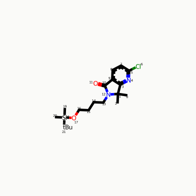 CC1(C)c2nc(Cl)ccc2C(=O)N1CCCCO[Si](C)(C)C(C)(C)C